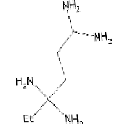 CCC(N)(N)CCC(N)N